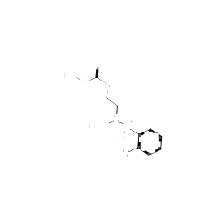 CN(CCNC(=O)OC(C)(C)C)S(=O)(=O)c1ccccc1[N+](=O)[O-]